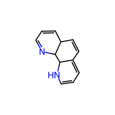 C1=CNC2C(=C1)C=CC1C=CC=NC12